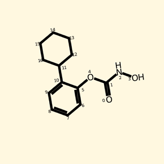 O=C(NO)Oc1ccccc1C1CCCCC1